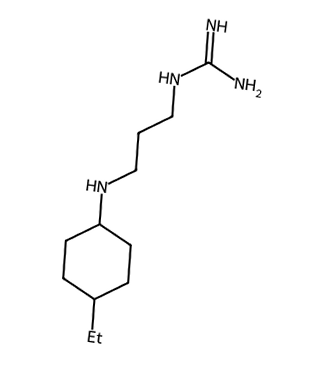 CCC1CCC(NCCCNC(=N)N)CC1